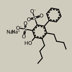 CCCCc1c(O)c(S(=O)(=O)[O-])c(S(=O)(=O)[O-])c(-c2ccccc2)c1CCCC.[Na+].[Na+]